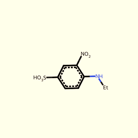 [CH2]CNc1ccc(S(=O)(=O)O)cc1[N+](=O)[O-]